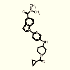 CN(C)C(=O)c1ccc2c(ccn2-c2ccc(NC3CCN(C(=O)C4CC4)CC3)cn2)c1